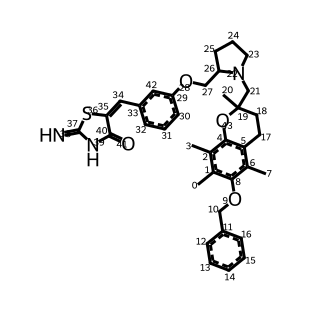 Cc1c(C)c2c(c(C)c1OCc1ccccc1)CCC(C)(CN1CCCC1COc1cccc(C=C3SC(=N)NC3=O)c1)O2